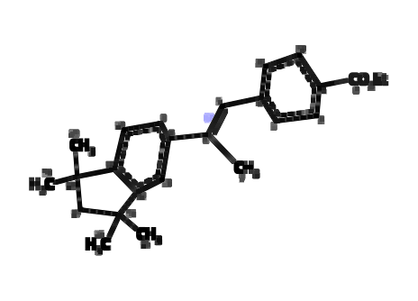 CCOC(=O)c1ccc(/C=C(\C)c2ccc3c(c2)C(C)(C)CC3(C)C)cc1